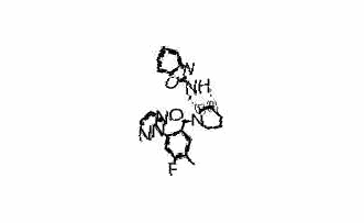 Cc1cc(C(=O)N2CCC[C@@H](C)[C@H]2CNc2nc3ccccc3o2)c(-n2nccn2)cc1F